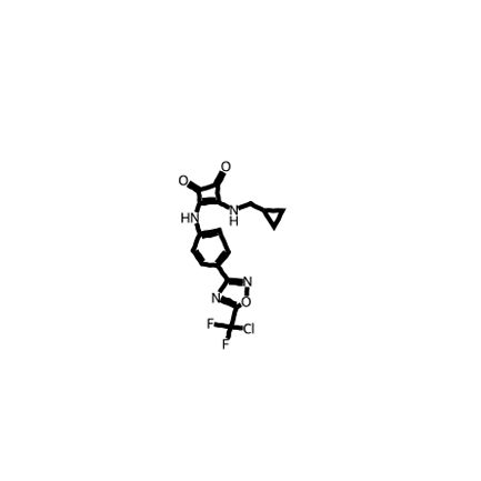 O=c1c(NCC2CC2)c(Nc2ccc(-c3noc(C(F)(F)Cl)n3)cc2)c1=O